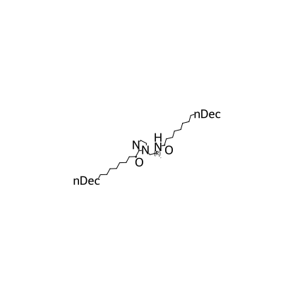 CCCCCCCCCCCCCCCCCC(=O)N[C@H](C)CN1CCN=C1C(=O)CCCCCCCCCCCCCCCCC